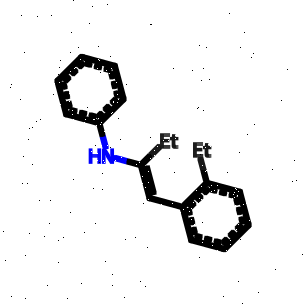 CC/C(=C\c1ccccc1CC)Nc1ccccc1